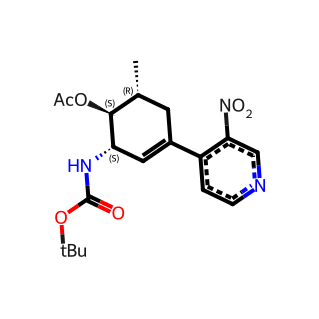 CC(=O)O[C@H]1[C@H](C)CC(c2ccncc2[N+](=O)[O-])=C[C@@H]1NC(=O)OC(C)(C)C